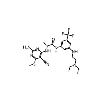 CCN(CC)CCNc1cc(NC(=O)[C@H](C)Nc2nc(N)nc(SC)c2C#N)cc(C(F)(F)F)c1